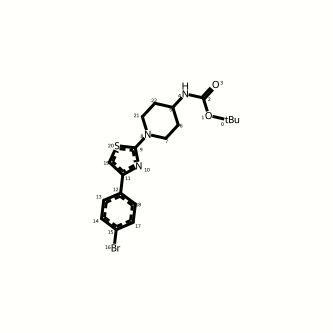 CC(C)(C)OC(=O)NC1CCN(c2nc(-c3ccc(Br)cc3)cs2)CC1